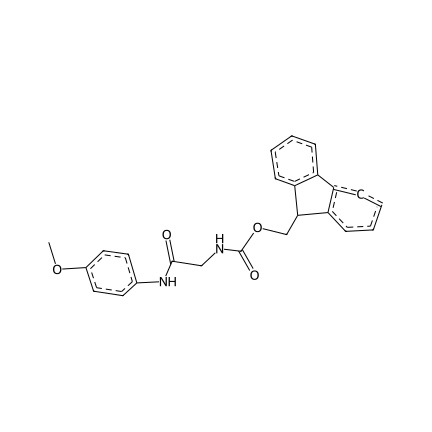 COc1ccc(NC(=O)CNC(=O)OCC2c3ccccc3-c3ccccc32)cc1